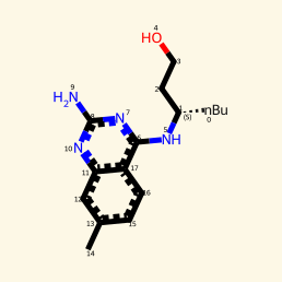 CCCC[C@@H](CCO)Nc1nc(N)nc2cc(C)ccc12